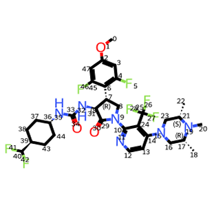 COc1cc(F)c([C@@H]2CN(c3nccc(N4C[C@@H](C)N(C)[C@@H](C)C4)c3C(F)(F)F)C(=O)[C@H]2NC(=O)N[C@H]2CC[C@H](C(F)F)CC2)c(F)c1